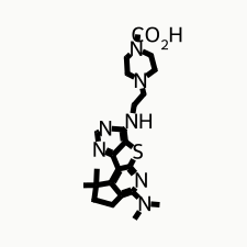 CN(C)c1nc2sc3c(NCCN4CCN(C(=O)O)CC4)ncnc3c2c2c1CCC2(C)C